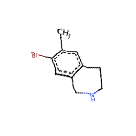 Cc1cc2c(cc1Br)CNCC2